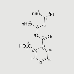 CCCCCCC(CC(CC)CCCC)OC(=O)c1ccccc1C(=O)O